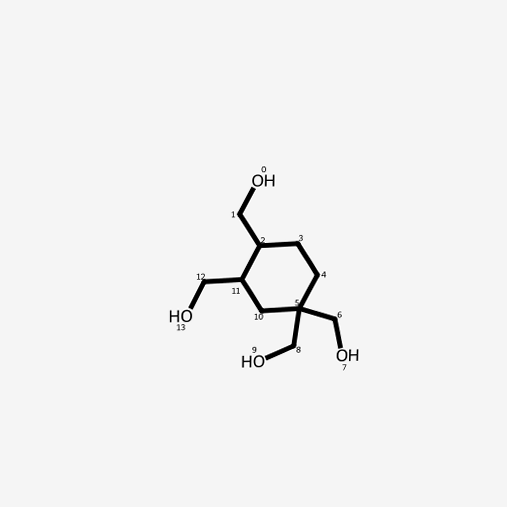 OCC1CCC(CO)(CO)CC1CO